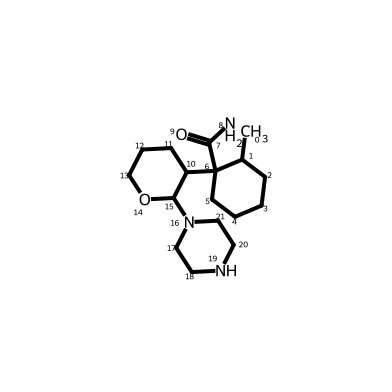 CC1CCCCC1(C(N)=O)C1CCCOC1N1CCNCC1